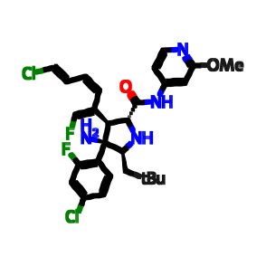 COc1cc(NC(=O)[C@@H]2N[C@@H](CC(C)(C)C)[C@](N)(c3ccc(Cl)cc3F)[C@H]2C(/C=C\C=C\Cl)=C\F)ccn1